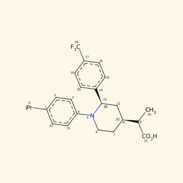 CC(C)c1ccc(N2CC[C@H](C(C)C(=O)O)C[C@@H]2c2ccc(C(F)(F)F)cc2)cc1